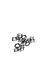 CC[Si](CC)(CC)c1ccccc1OP(Oc1ccccc1[Si](CC)(CC)CC)Oc1ccccc1[Si](CC)(CC)CC